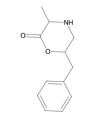 CC1NCC(Cc2ccccc2)OC1=O